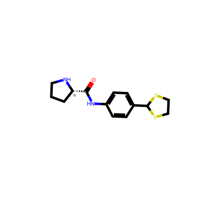 O=C(Nc1ccc(C2SCCS2)cc1)[C@@H]1CCCN1